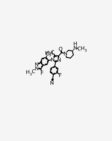 CN[C@H]1CCCN(C(=O)c2nc(-c3ccc(C#N)c(F)c3)n(-c3cc4c(F)n(C)nc4cc3C)c2C)C1